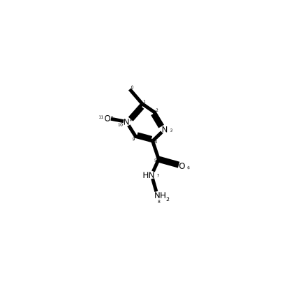 Cc1cnc(C(=O)NN)c[n+]1[O-]